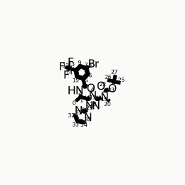 CC(NC(=O)c1cc(Br)cc(C(F)(F)F)c1)c1nc(N(C)C(=O)OC(C)(C)C)nn1-c1ncccn1